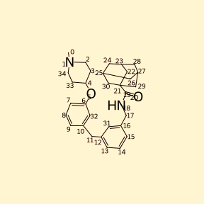 CN1CCC(Oc2cccc(Cc3cccc(CNC(=O)C45CC6CC(CC(C6)C4)C5)c3)c2)CC1